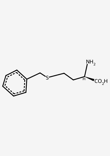 N[C@H](CCSCc1ccccc1)C(=O)O